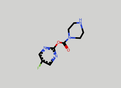 O=C(Oc1ncc(F)cn1)N1CCNCC1